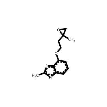 Cc1nc2cccc(OCCC3(C)CO3)c2s1